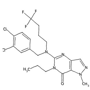 CCCn1c(N(CCCC(F)(F)F)Cc2ccc(Cl)c(Cl)c2)nc2cnn(C)c2c1=O